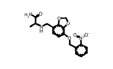 CC(NCc1ccc(OCc2ccccc2[N+](=O)[O-])c2c1OCO2)C(N)=O